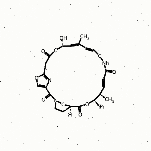 CC1=C\[C@@H](O)CC(=O)Cc2nc(co2)C(=O)N2CC[C@@H](C2)C(=O)O[C@H](C(C)C)[C@H](C)/C=C/C(=O)NC\C=C\1